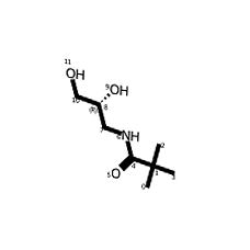 CC(C)(C)C(=O)NC[C@@H](O)CO